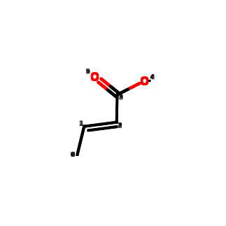 CC=CC([O])=O